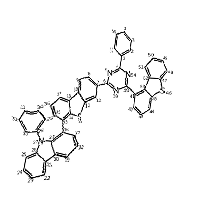 c1ccc(-c2nc(-c3ccc4c(c3)sc3c(-c5cccc6c7ccccc7n(-c7ccccc7)c56)cccc34)nc(-c3cccc4sc5ccccc5c34)n2)cc1